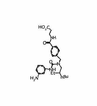 CCCCC(CC)CN(Cc1ccc(C(=O)NCCC(=O)O)cc1)C(=O)Nc1cccc(N)c1